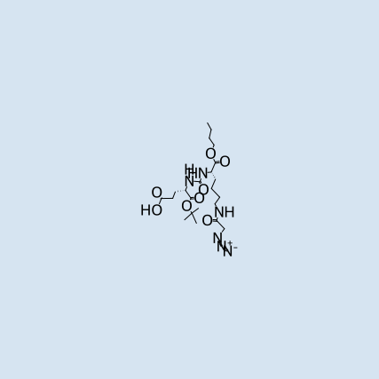 CCCCOC(=O)[C@H](CCCCNC(=O)CN=[N+]=[N-])NC(=O)N[C@@H](CCC(=O)O)C(=O)OC(C)(C)C